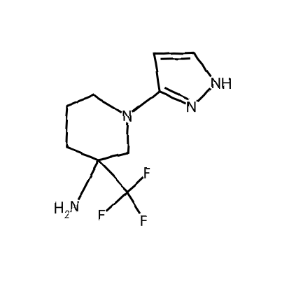 NC1(C(F)(F)F)CCCN(c2cc[nH]n2)C1